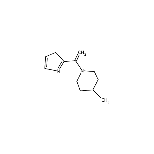 C=C(C1=NC=CC1)N1CCC(C)CC1